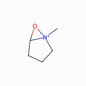 C[N+]12CCCC1O2